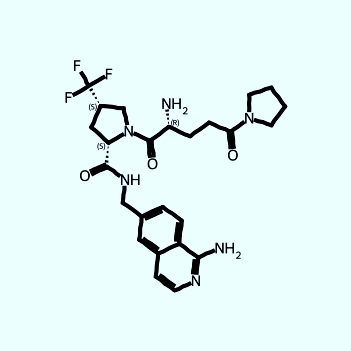 Nc1nccc2cc(CNC(=O)[C@@H]3C[C@H](C(F)(F)F)CN3C(=O)[C@H](N)CCC(=O)N3CCCC3)ccc12